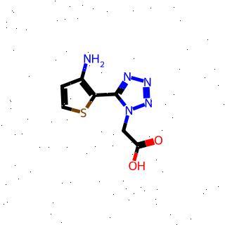 Nc1ccsc1-c1nnnn1CC(=O)O